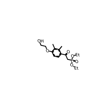 CCOP(=O)(CC(=O)c1ccc(OCCO)c(C)c1C)OCC